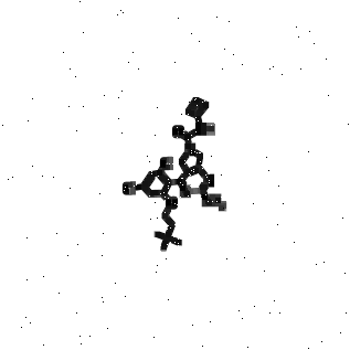 CC(C)(C)CCOc1cc(Cl)cc(Cl)c1-c1nc(N)nc2c1CN(C(=O)NC1=CC=C1)C2